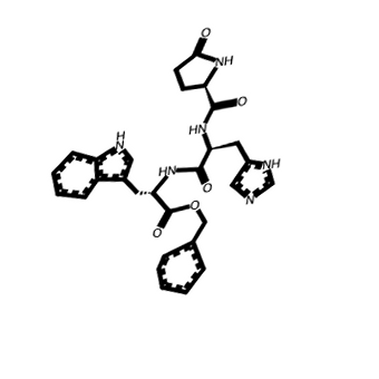 O=C1CC[C@H](C(=O)N[C@@H](Cc2cnc[nH]2)C(=O)N[C@@H](Cc2c[nH]c3ccccc23)C(=O)OCc2ccccc2)N1